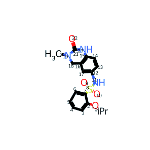 CC(C)Oc1ccccc1S(=O)(=O)Nc1ccc2c(c1)CN(C)C(=O)N2